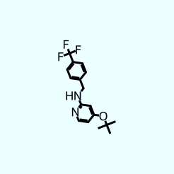 CC(C)(C)Oc1ccnc(NCc2ccc(C(F)(F)F)cc2)c1